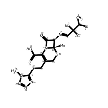 CC(Br)C(Cl)(Br)C=N[C@@H]1C(=O)N2C(C(=O)O)=C(CSc3nnnn3C)CS[C@@H]12